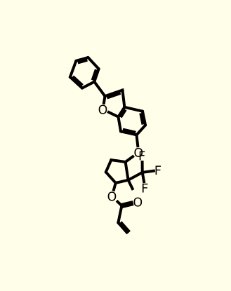 C=CC(=O)OC1CCC(Oc2ccc3cc(-c4ccccc4)oc3c2)C1(C)C(F)(F)F